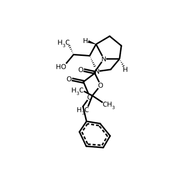 C[C@@H](O)[C@@H]1[C@@H]2CC[C@@H](CN1C(=O)OCc1ccccc1)N2C(=O)OC(C)(C)C